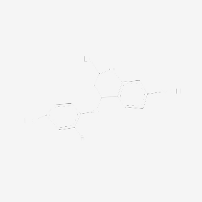 CCC1CC(Oc2ccc(C(F)(F)F)cc2Br)c2ccc(S(=O)(=O)O)cc2O1